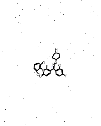 Cc1c(/C(=N/OC2CCNCC2)c2ccc(F)cc2Cl)ccc(=O)n1-c1c(Cl)cccc1Cl